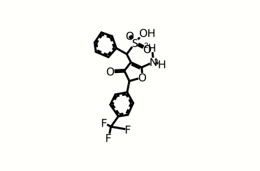 [2H]N([2H])C1=C(C(c2ccccc2)S(=O)(=O)O)C(=O)C(c2ccc(C(F)(F)F)cc2)O1